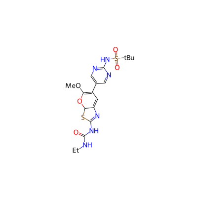 CCNC(=O)NC1=NC2=CC(c3cnc(NS(=O)(=O)C(C)(C)C)nc3)=C(OC)OC2S1